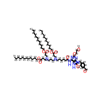 CCCCCCCCCCCCOC(=O)CCN(CCCCCC(=O)Nc1nc(OCCOC)nc2c1[nH]c(=O)n2Cc1ccc(C=O)cc1)CCCN(CCC(=O)OCCCCCCCCCCCC)CCC(=O)OCCCCCCCCCCCC